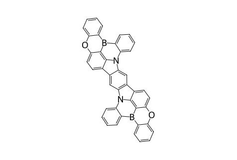 c1ccc2c(c1)Oc1ccc3c4cc5c(cc4n4c3c1B2c1ccccc1-4)c1ccc2c3c1n5-c1ccccc1B3c1ccccc1O2